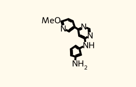 COc1ccc(-c2cc(Nc3cccc(N)c3)ncn2)cn1